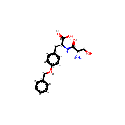 N[C@@H](CO)C(=O)N[C@@H](Cc1ccc(OCc2ccccc2)cc1)C(=O)O